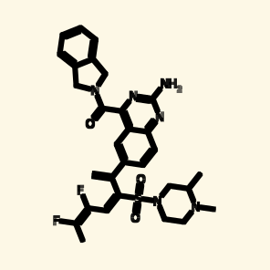 C=C(/C(=C\C(F)=C(/C)F)S(=O)(=O)N1CCN(C)C(C)C1)c1ccc2nc(N)nc(C(=O)N3Cc4ccccc4C3)c2c1